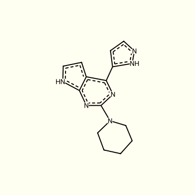 c1cc(-c2nc(N3CCCCC3)nc3[nH]ccc23)[nH]n1